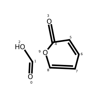 O=CO.O=c1cccco1